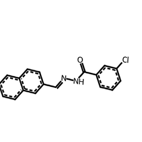 O=C(N/N=C/c1ccc2ccccc2c1)c1cccc(Cl)c1